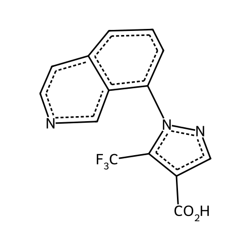 O=C(O)c1cnn(-c2cccc3ccncc23)c1C(F)(F)F